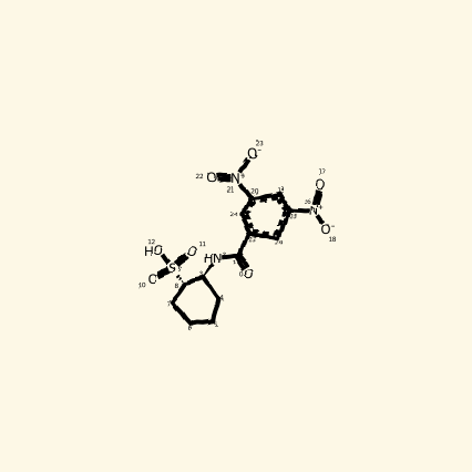 O=C(N[C@H]1CCCC[C@@H]1S(=O)(=O)O)c1cc([N+](=O)[O-])cc([N+](=O)[O-])c1